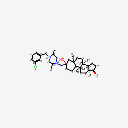 CC1CN(C[C@@]2(O)CC[C@@]3(C)[C@@H](CC[C@@H]4[C@@H]3CC[C@]3(C)C(=O)CC[C@@H]43)C2)C(C)CN1Cc1cccc(Cl)c1